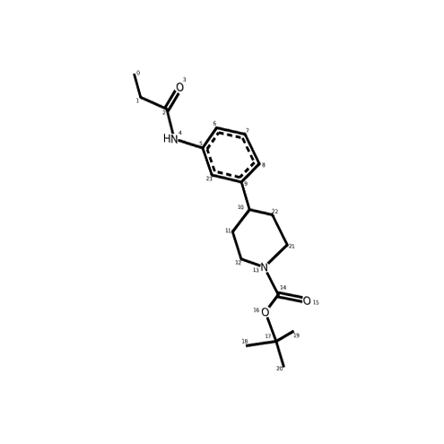 CCC(=O)Nc1cccc(C2CCN(C(=O)OC(C)(C)C)CC2)c1